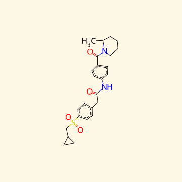 CC1CCCCN1C(=O)c1ccc(NC(=O)Cc2ccc(S(=O)(=O)CC3CC3)cc2)cc1